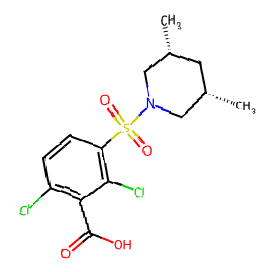 C[C@@H]1C[C@H](C)CN(S(=O)(=O)c2ccc(Cl)c(C(=O)O)c2Cl)C1